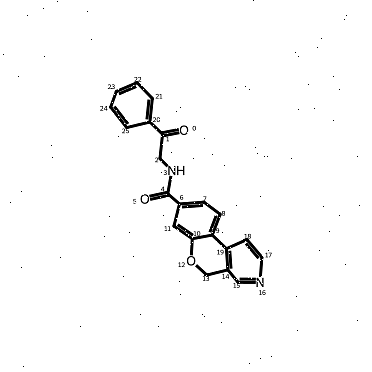 O=C(CNC(=O)c1ccc2c(c1)OCc1cnccc1-2)c1ccccc1